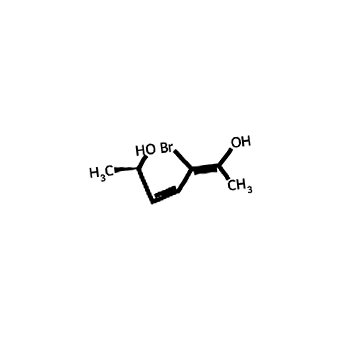 C/C(O)=C(Br)\C=C/[C@@H](C)O